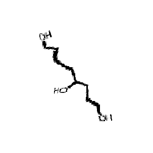 OCC=CCC(O)CCCO